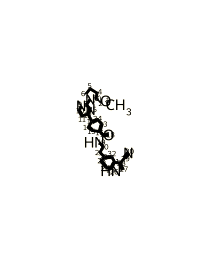 COC[C@@H]1CCCN1c1nccc(-c2ccc(C(=O)NCCc3ccc4[nH]cc(C#N)c4c3)cc2)n1